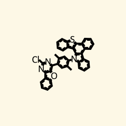 Cc1cc(-n2c3ccccc3c3c4ccccc4c4sc5ccccc5c4c32)c(C)cc1-c1nc(Cl)nc2c1oc1ccccc12